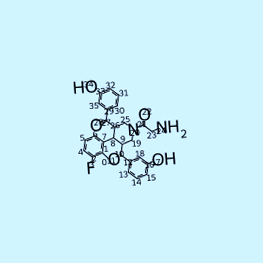 Cc1c(F)cccc1C1C(C(=O)c2cccc(O)c2)CN(C(=O)CN)CC1C(=O)c1cccc(O)c1